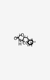 O=C1COC(Cc2ccccc2)C(C(=O)O)N1